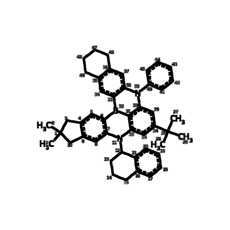 CC1(C)Cc2cc3c(cc2C1)N(C1CCCc2ccccc21)c1cc(C(C)(C)C)cc2c1B3c1cc3c(cc1N2c1ccccc1)CCCC3